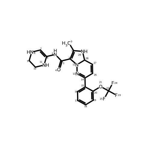 CC1=C(C(=O)NC2=CNCCN2)N2N=C(c3ccccc3OC(F)(F)F)C=CC2N1